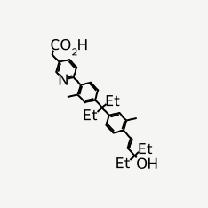 CCC(O)(/C=C/c1ccc(C(CC)(CC)c2ccc(-c3ccc(CC(=O)O)cn3)c(C)c2)cc1C)CC